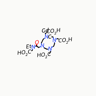 CCN(CC(=O)O)C(=O)CN1CCN(CC(=O)O)CCN(CC(=O)O)CCN(CC(=O)O)CC1.[Gd]